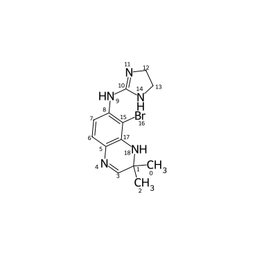 CC1(C)C=Nc2ccc(NC3=NCCN3)c(Br)c2N1